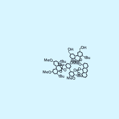 COc1cc(-c2cc(OC)cc(C(C)(C)C)c2Op2oc3c(C(C)(C)C)cc(OC)cc3c3cc(OC)cc(C(C)(C)C)c3o2)c(OP2Oc3cccc4cc5cccc(Op6oc7c(C(C)(C)C)cc(CO)cc7c7cc(CO)cc(C(C)(C)C)c7o6)c5c(c34)O2)c(C(C)(C)C)c1